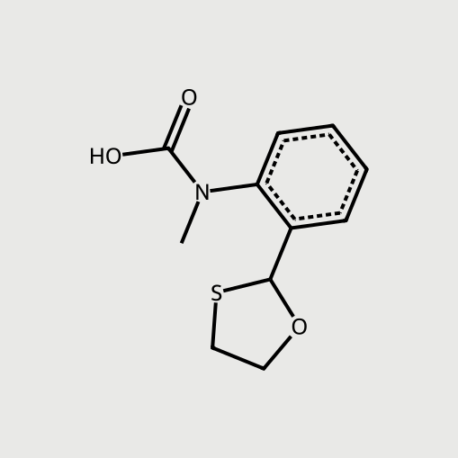 CN(C(=O)O)c1ccccc1C1OCCS1